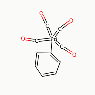 O=[C]=[Pd](=[C]=O)(=[C]=O)(=[C]=O)[c]1ccccc1